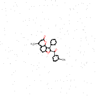 Cc1cc(=O)oc2c1ccc1oc(C(=O)c3cccc(C#N)c3)c(-c3ccccc3)c12